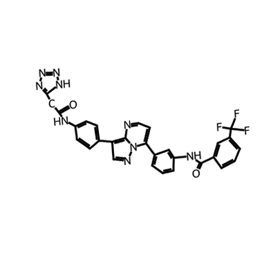 O=C(Cc1nnn[nH]1)Nc1ccc(-c2cnn3c(-c4cccc(NC(=O)c5cccc(C(F)(F)F)c5)c4)ccnc23)cc1